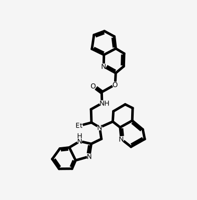 CCC(CNC(=O)Oc1ccc2ccccc2n1)N(Cc1nc2ccccc2[nH]1)C1CCCc2cccnc21